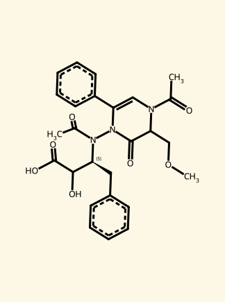 COCC1C(=O)N(N(C(C)=O)[C@@H](Cc2ccccc2)C(O)C(=O)O)C(c2ccccc2)=CN1C(C)=O